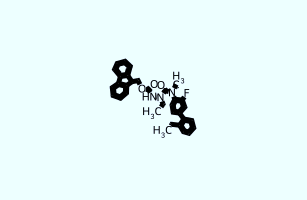 CCc1ccccc1-c1ccc(N(C)C(=O)N(CC)NC(=O)OCC2c3ccccc3-c3ccccc32)c(F)c1